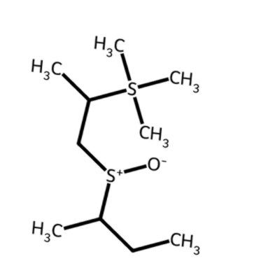 CCC(C)[S+]([O-])CC(C)S(C)(C)C